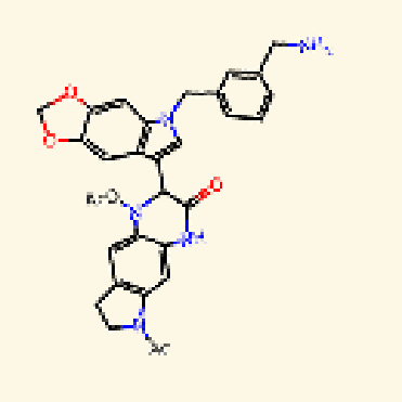 CC(=O)ON1c2cc3c(cc2NC(=O)C1c1cn(Cc2cccc(CN)c2)c2cc4c(cc12)OCO4)N(C(C)=O)CC3